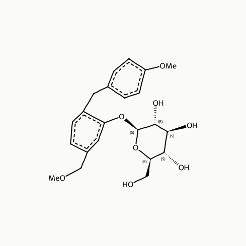 COCc1ccc(Cc2ccc(OC)cc2)c(O[C@@H]2O[C@H](CO)[C@@H](O)[C@H](O)[C@H]2O)c1